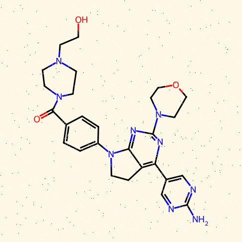 Nc1ncc(-c2nc(N3CCOCC3)nc3c2CCN3c2ccc(C(=O)N3CCN(CCO)CC3)cc2)cn1